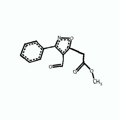 COC(=O)Cc1onc(-c2ccccc2)c1C=O